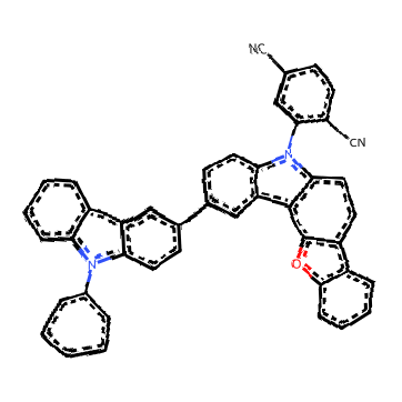 N#Cc1ccc(C#N)c(-n2c3ccc(-c4ccc5c(c4)c4ccccc4n5-c4ccccc4)cc3c3c4oc5ccccc5c4ccc32)c1